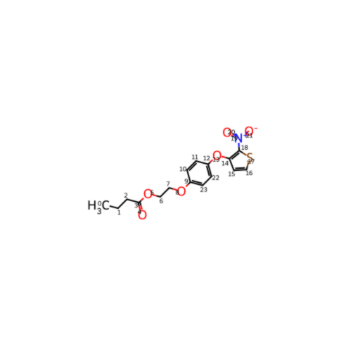 CCCC(=O)OCCOc1ccc(Oc2ccsc2[N+](=O)[O-])cc1